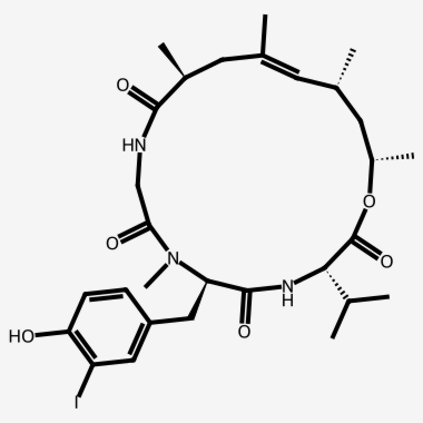 C/C1=C\[C@H](C)C[C@H](C)OC(=O)[C@H](C(C)C)NC(=O)[C@@H](Cc2ccc(O)c(I)c2)N(C)C(=O)CNC(=O)[C@@H](C)C1